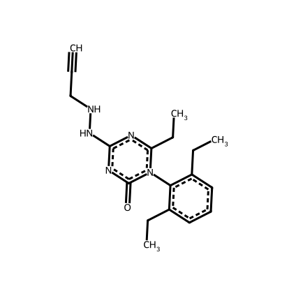 C#CCNNc1nc(CC)n(-c2c(CC)cccc2CC)c(=O)n1